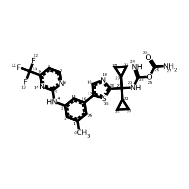 Cc1cc(Nc2nccc(C(F)(F)F)n2)cc(-c2cnc(C(NC(=N)OC(N)=O)(C3CC3)C3CC3)s2)c1